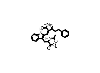 COC(=O)C(Cc1c(/C=C2\C(=O)NN=C2CCc2ccccc2)[nH]c2ccccc12)NC(C)=O